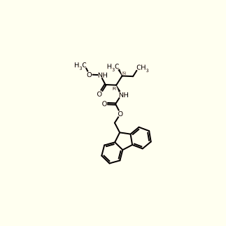 CC[C@H](C)[C@@H](NC(=O)OCC1c2ccccc2-c2ccccc21)C(=O)NOC